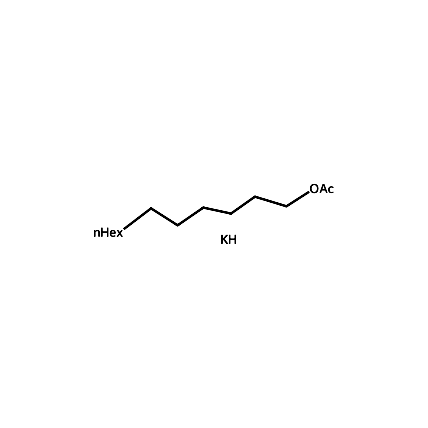 CCCCCCCCCCCCOC(C)=O.[KH]